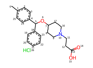 Cc1ccc(C(OC2CCN(CCC(=O)O)CC2)c2ccccc2)cc1.Cl